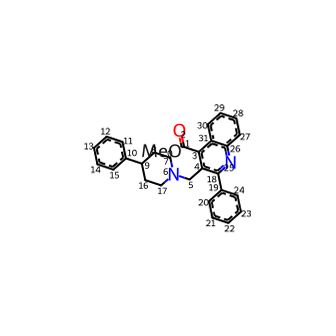 COC(=O)c1c(CN2CCC(c3ccccc3)CC2)c(-c2ccccc2)nc2ccccc12